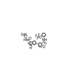 COc1ncc(-c2ccc3c(C(=O)NC4CC(=O)N(C)C4)n[nH]c3c2)cc1C(=O)NCc1ccccc1OC(F)(F)F